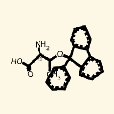 CC(OC1(c2ccccc2)c2ccccc2-c2ccccc21)[C@H](N)C(=O)O